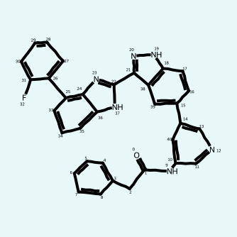 O=C(Cc1ccccc1)Nc1cncc(-c2ccc3[nH]nc(-c4nc5c(-c6ccccc6F)cccc5[nH]4)c3c2)c1